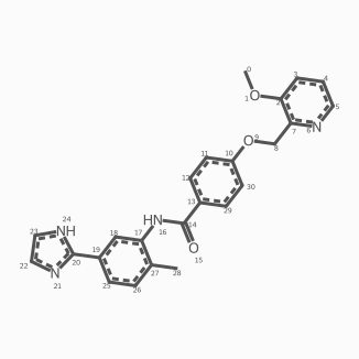 COc1cccnc1COc1ccc(C(=O)Nc2cc(-c3ncc[nH]3)ccc2C)cc1